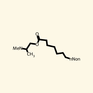 CCCCCCCCCCCCCCCC(=O)OCC(C)NC